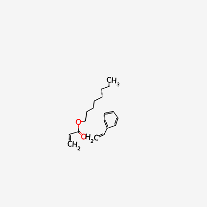 C=CC(=O)OCCCCCCCC.C=Cc1ccccc1